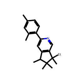 CCC1(C)c2cnc(-c3ccc(C)cc3C)cc2C(C)C1(C)C